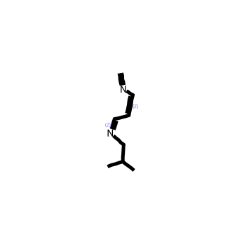 C=N/C=C\C=N/CC(C)C